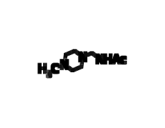 CC(=O)NCN1CCN(C)CC1